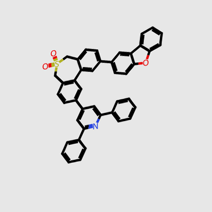 O=S1(=O)Cc2ccc(-c3cc(-c4ccccc4)nc(-c4ccccc4)c3)cc2-c2cc(-c3ccc4oc5ccccc5c4c3)ccc2C1